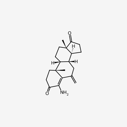 C=C1C[C@@H]2[C@@H](CC[C@]3(C)C(=O)CC[C@@H]23)[C@@]2(C)CCC(=O)C(N)=C12